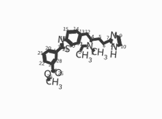 CCN(C)C(CCc1ncc[nH]1)Cc1ccc2nc(-c3cccc(C(=O)OC)c3)sc2c1